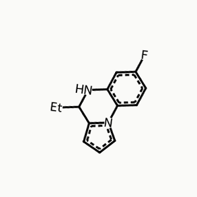 CCC1Nc2cc(F)ccc2-n2cccc21